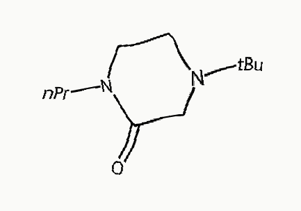 CCCN1CCN(C(C)(C)C)CC1=O